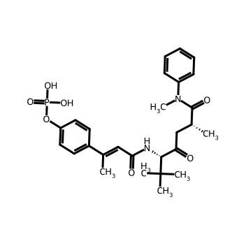 C/C(=C\C(=O)N[C@H](C(=O)C[C@@H](C)C(=O)N(C)c1ccccc1)C(C)(C)C)c1ccc(OP(=O)(O)O)cc1